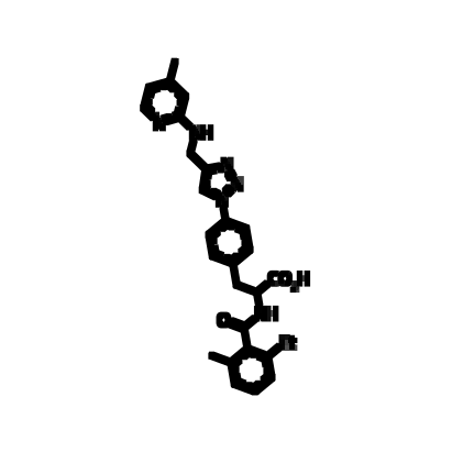 CCc1cccc(C)c1C(=O)NC(Cc1ccc(-n2cc(CNc3cc(C)ccn3)nn2)cc1)C(=O)O